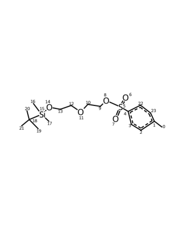 Cc1ccc(S(=O)(=O)OCCOCCO[Si](C)(C)C(C)(C)C)cc1